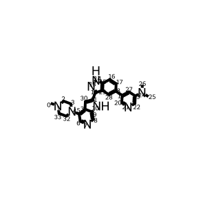 CN1CCN(c2cncc3[nH]c(-c4n[nH]c5ccc(-c6cncc(N(C)C)c6)cc45)cc23)CC1